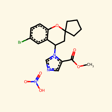 COC(=O)c1cncn1C1CC2(CCCC2)Oc2ccc(Br)cc21.O=[N+]([O-])O